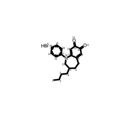 Br.CCCCC1CCC2=CC(=O)C(=O)C=C2N(c2ccccc2)C1